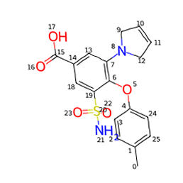 Cc1ccc(Oc2c(N3CC=CC3)cc(C(=O)O)cc2S(N)(=O)=O)cc1